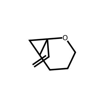 C=CC12CC1CCCO2